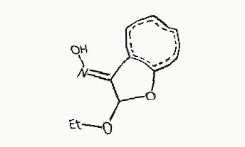 CCOC1Oc2ccccc2C1=NO